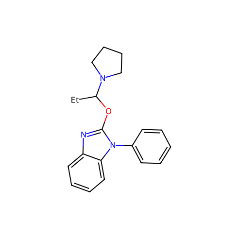 CCC(Oc1nc2ccccc2n1-c1ccccc1)N1CCCC1